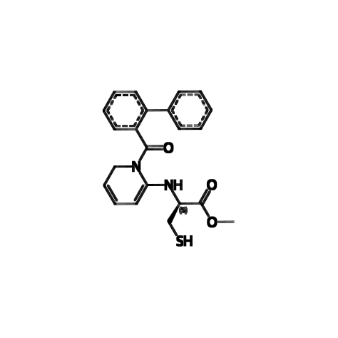 COC(=O)[C@@H](CS)NC1=CC=CCN1C(=O)c1ccccc1-c1ccccc1